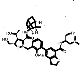 COc1c(CN2O[C@@H](CO)[C@@H]([C@H](C)O)[C@H]2C(=O)N[C@H]2CC3C[C@@H]([C@@H]2C)C3(C)C)cccc1-c1cc2c(c(C(=O)N[C@@H](CC(C)C)CN(C)C)c1)OCC2